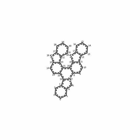 c1ccc2c(c1)cn1c3ccc4c5ccccc5sc4c3c3c(ccc4sc5ccccc5c43)c21